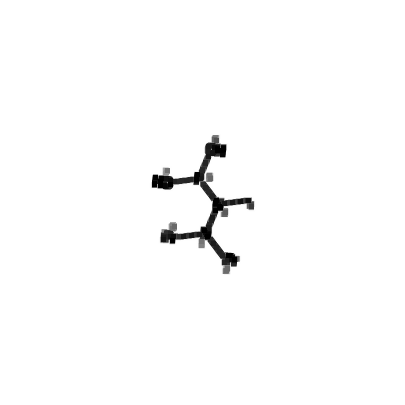 CC(C)N(C(C)C)N(C)P(O)O